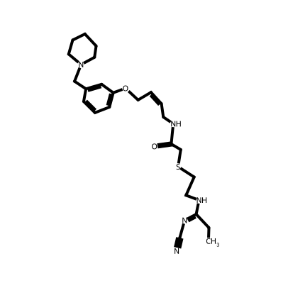 CCC(=NC#N)NCCSCC(=O)NC/C=C\COc1cccc(CN2CCCCC2)c1